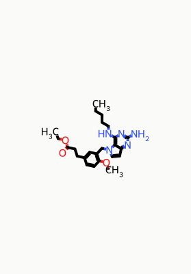 CCCCCNc1nc(N)nc2ccn(Cc3cc(CCC(=O)OCC)ccc3OC)c12